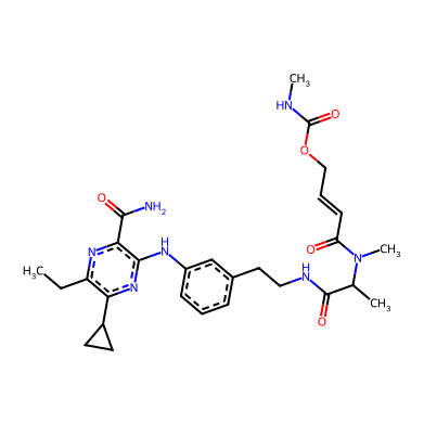 CCc1nc(C(N)=O)c(Nc2cccc(CCNC(=O)C(C)N(C)C(=O)C=CCOC(=O)NC)c2)nc1C1CC1